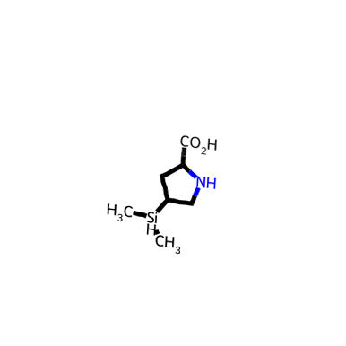 C[SiH](C)C1CNC(C(=O)O)C1